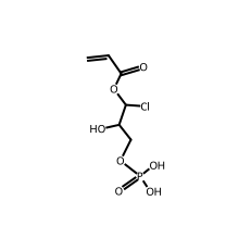 C=CC(=O)OC(Cl)C(O)COP(=O)(O)O